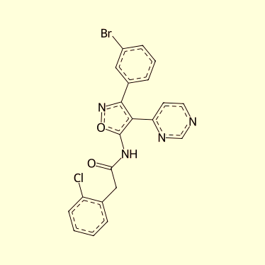 O=C(Cc1ccccc1Cl)Nc1onc(-c2cccc(Br)c2)c1-c1ccncn1